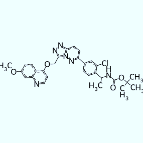 COc1ccc2c(OCc3nnc4ccc(-c5ccc(C(C)NC(=O)OC(C)(C)C)c(Cl)c5)nn34)ccnc2c1